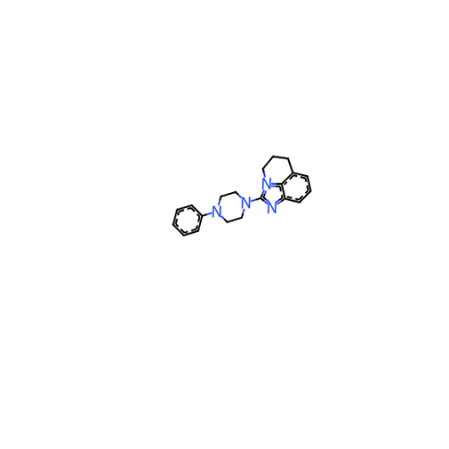 c1ccc(N2CCN(c3nc4cccc5c4n3CCC5)CC2)cc1